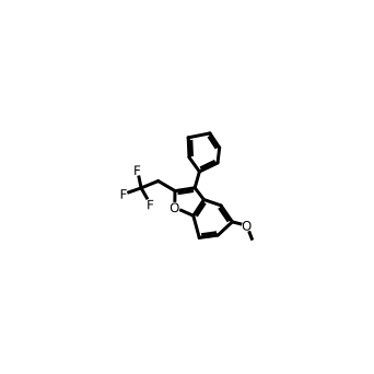 COc1ccc2oc(CC(F)(F)F)c(-c3ccccc3)c2c1